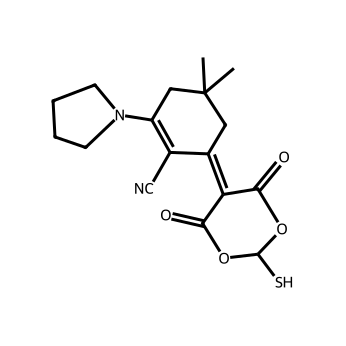 CC1(C)CC(=C2C(=O)OC(S)OC2=O)C(C#N)=C(N2CCCC2)C1